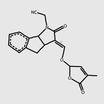 CC1=CC(O/C=C2/C(=O)N(CC#N)C3c4ccccc4CC23)OC1=O